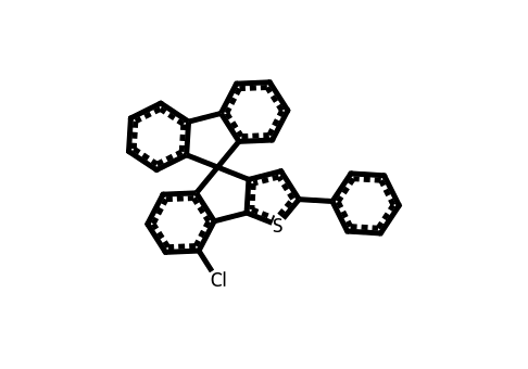 Clc1cccc2c1-c1sc(-c3ccccc3)cc1C21c2ccccc2-c2ccccc21